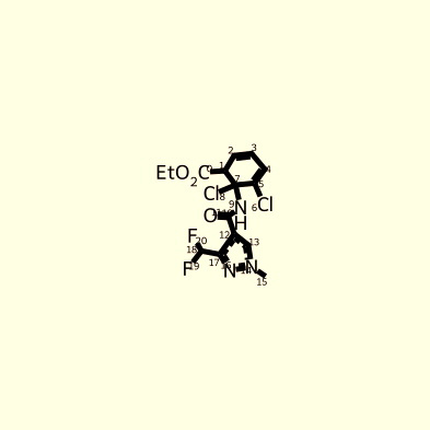 CCOC(=O)C1C=CC=C(Cl)C1(Cl)NC(=O)c1cn(C)nc1C(F)F